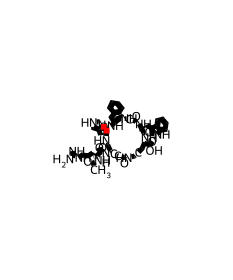 CC(=O)N[C@@H](CCCNC(=N)N)C(=O)NC1CCC(=O)NCCCC(C(=O)O)NC(=O)[C@H](Cc2c[nH]c3ccccc23)NC(=O)CNC(=O)C(Cc2ccccc2)NC(=O)[C@H](Cc2c[nH]cn2)NC1=O